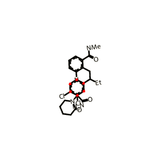 CCC(Cc1c(C(=O)NC)cccc1N1CCC(C(N)=O)(N2CCCCC2=O)CC1)c1ccc(Cl)c(Cl)c1